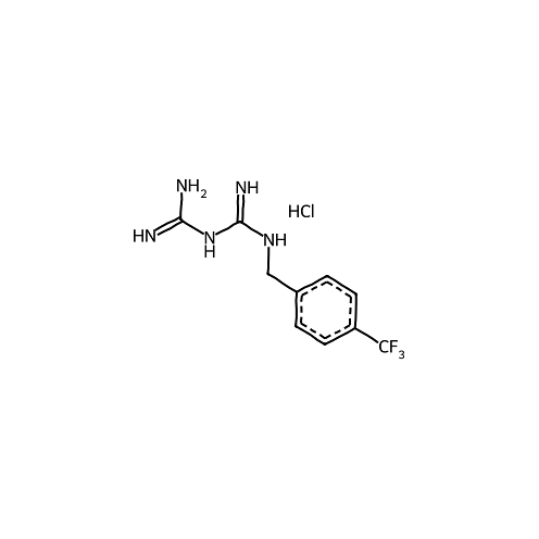 Cl.N=C(N)NC(=N)NCc1ccc(C(F)(F)F)cc1